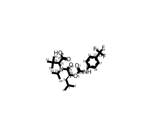 CC(C)C[C@H](OC(=O)Nc1ccc(C(F)(F)F)cc1)C(=O)N(C(C)C)C(C(=O)O)C(C)(C)C